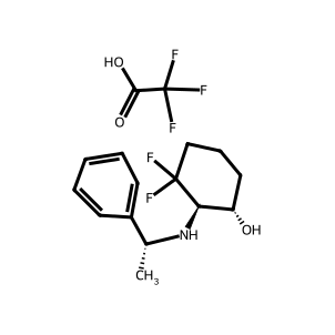 C[C@@H](N[C@@H]1[C@@H](O)CCCC1(F)F)c1ccccc1.O=C(O)C(F)(F)F